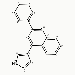 c1ccc(-c2cc(-c3cn[nH]c3)c3ccccc3n2)cc1